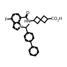 CC(c1ccc(-c2ccccc2)cc1)n1ccc2c(F)ccc(C(=O)NC3CC4(C3)CC(C(=O)O)C4)c21